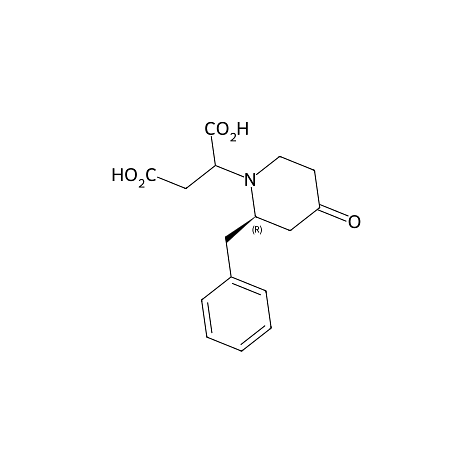 O=C(O)CC(C(=O)O)N1CCC(=O)C[C@H]1Cc1ccccc1